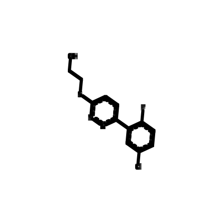 OCCSc1ccc(-c2cc(Cl)ccc2F)nn1